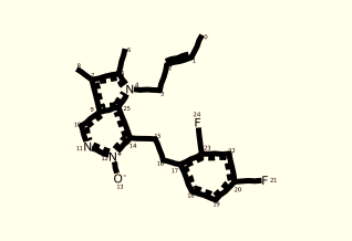 CC=CCn1c(C)c(C)c2cn[n+]([O-])c(CCc3ccc(F)cc3F)c21